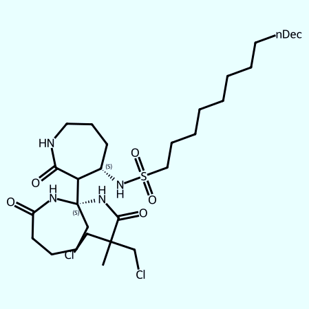 CCCCCCCCCCCCCCCCCCS(=O)(=O)N[C@H]1CCCNC(=O)C1[C@@]1(NC(=O)C(C)(CCl)CCl)CCCCC(=O)N1